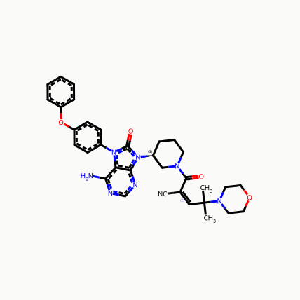 CC(C)(/C=C(/C#N)C(=O)N1CCC[C@H](n2c(=O)n(-c3ccc(Oc4ccccc4)cc3)c3c(N)ncnc32)C1)N1CCOCC1